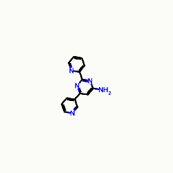 Nc1cc(-c2cccnc2)nc(-c2ccccn2)n1